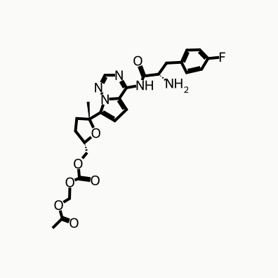 CC(=O)OCOC(=O)OC[C@@H]1CC[C@](C)(c2ccc3c(NC(=O)[C@@H](N)Cc4ccc(F)cc4)ncnn23)O1